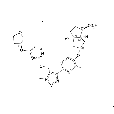 Cc1nc(-c2nnn(C)c2COc2nccc(O[C@H]3CCOC3)n2)ccc1O[C@@H]1C[C@H]2CC[C@@H](C(=O)O)[C@H]2C1